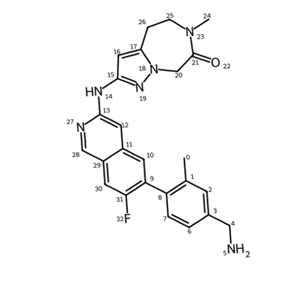 Cc1cc(CN)ccc1-c1cc2cc(Nc3cc4n(n3)CC(=O)N(C)CC4)ncc2cc1F